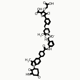 Cc1cn(C2CCC(=O)CC(=N)C2=O)c2ccc(C3CCC(C(=O)Nc4cccc(C[S+]([O-])N5CC[C@H](Cc6cccc(-c7sc(C(=O)O)c(OCC(=O)O)c7Cl)c6)CC5(C)C)c4)CC3)cc12